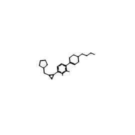 CCCCC1CC=C(c2ccc(C3CC3CC3CCCC3)c(F)c2F)CC1